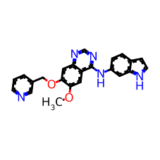 COc1cc2c(Nc3ccc4cc[nH]c4c3)ncnc2cc1OCc1cccnc1